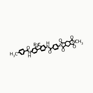 Cc1ccc(C(=O)Nc2ccc(-c3ccc(NC(=O)c4ccc(N5C(=O)C6CC7C(=O)N(C)C(=O)C7CC6C5=O)cc4)cc3C(F)(F)F)c(C(F)(F)F)c2)cc1